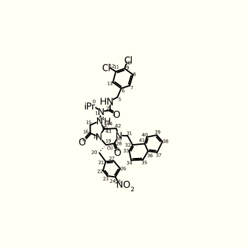 CC(C)N(C(=O)NCc1ccc(Cl)c(Cl)c1)N1CC(=O)N2[C@@H](Cc3ccc([N+](=O)[O-])cc3)C(=O)N(Cc3cccc4ccccc34)C[C@@H]21